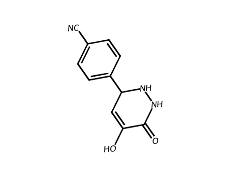 N#Cc1ccc(C2C=C(O)C(=O)NN2)cc1